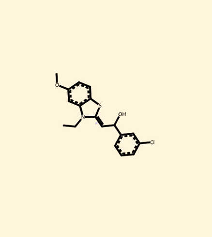 CCN1/C(=C/C(O)c2cccc(Cl)c2)Sc2ccc(OC)cc21